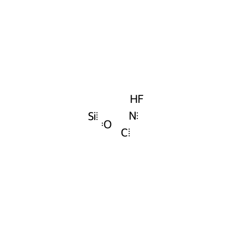 F.[C].[N].[O].[Si]